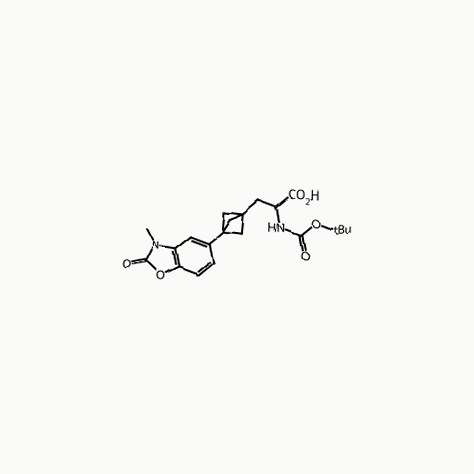 Cn1c(=O)oc2ccc(C34CC(CC(NC(=O)OC(C)(C)C)C(=O)O)(C3)C4)cc21